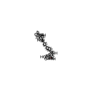 COC(=O)N[C@H](C(=O)N1[C@@H]2C[C@H]2C[C@H]1c1nc(-c2ccc(-c3ccc4nc(-c5c[nH]c([C@@H]6C[C@H]7C[C@H]7N6C(=O)[C@H](C(C)C)N(C)C(=O)O)n5)ccc4c3)cc2)c[nH]1)C(C)C